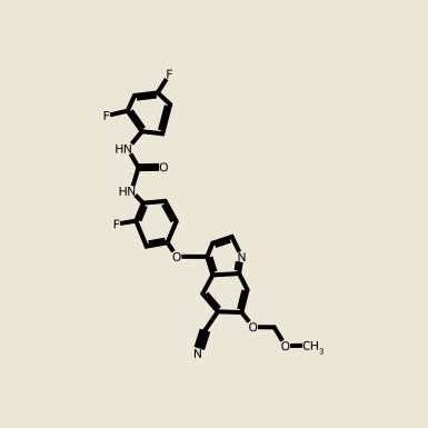 COCOc1cc2nccc(Oc3ccc(NC(=O)Nc4ccc(F)cc4F)c(F)c3)c2cc1C#N